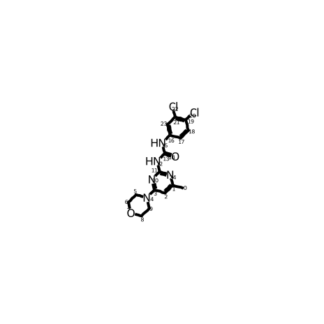 Cc1cc(N2CCOCC2)nc(NC(=O)Nc2ccc(Cl)c(Cl)c2)n1